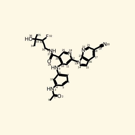 CC(=O)Nc1cccc(Nc2cc(-n3ccc4cc(C#N)cnc43)ncc2C(=O)NCC(F)C(C)(C)O)c1